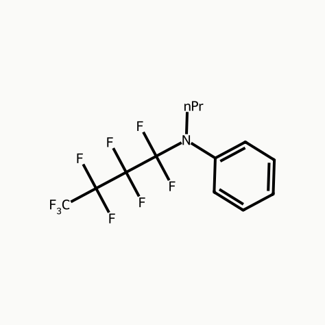 CCCN(c1ccccc1)C(F)(F)C(F)(F)C(F)(F)C(F)(F)F